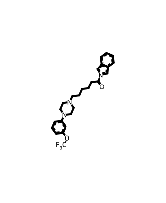 O=C(CCCCCN1CCN(c2cccc(OC(F)(F)F)c2)CC1)n1cc2ccccc2c1